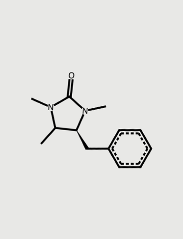 CC1[C@H](Cc2ccccc2)N(C)C(=O)N1C